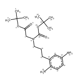 CC(C)(C)OC(=O)CN(CCCc1cc(N)ccc1N)C(=O)OC(C)(C)C